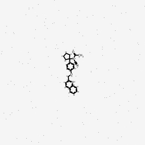 CC(=O)N(C#N)C1(c2ccc(OCc3ccc4ccccc4n3)cc2)CCCC1